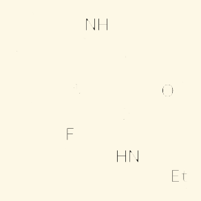 CCNC(=O)C1(F)CCCNC1